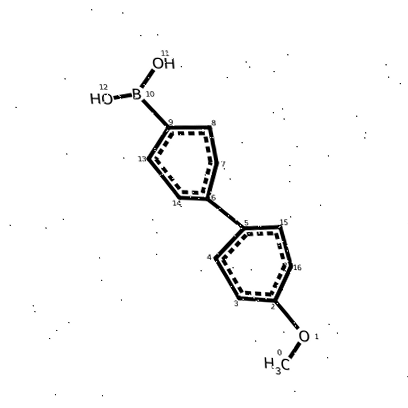 COc1ccc(-c2ccc(B(O)O)cc2)cc1